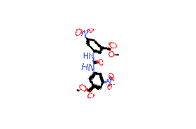 COC(=O)c1cc(NC(=O)Nc2cc(C(=O)OC)cc([N+](=O)[O-])c2)cc([N+](=O)[O-])c1